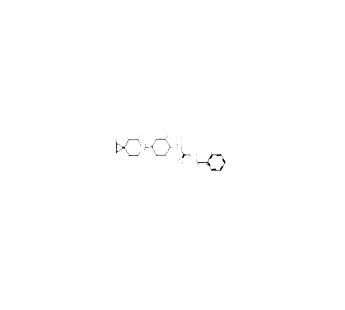 O=C(N[C@H]1CC[C@H](N2CCC3(CC2)CC3)CC1)OCc1ccccc1